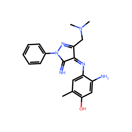 Cc1cc(N=C2C(=N)N(c3ccccc3)N=C2CN(C)C)c(N)cc1O